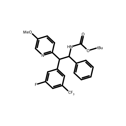 COc1ccc(C(c2cc(F)cc(C(F)(F)F)c2)C(NC(=O)OC(C)(C)C)c2ccccc2)nc1